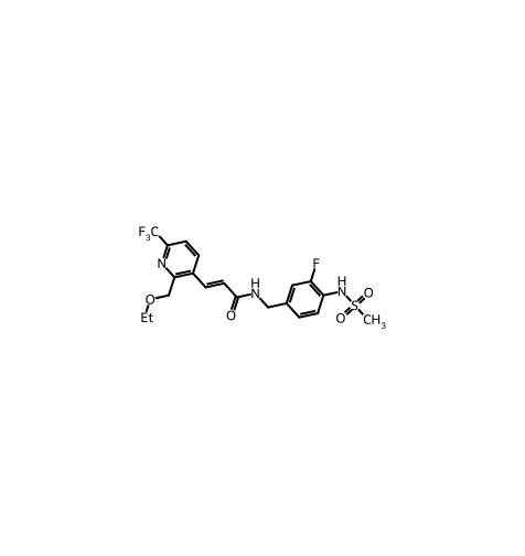 CCOCc1nc(C(F)(F)F)ccc1C=CC(=O)NCc1ccc(NS(C)(=O)=O)c(F)c1